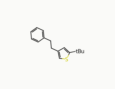 CC(C)(C)c1cc(CCc2ccccc2)cs1